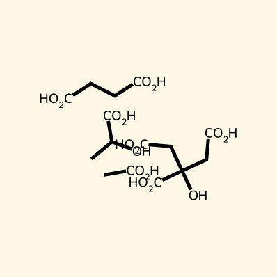 CC(=O)O.CC(O)C(=O)O.O=C(O)CC(O)(CC(=O)O)C(=O)O.O=C(O)CCC(=O)O